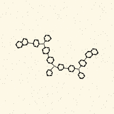 c1ccc(N(c2ccc(-c3ccc(N(c4ccccc4)c4ccc(-c5ccc6ccccc6c5)cc4)cc3)cc2)c2ccc(-c3ccc(N(c4ccccc4)c4ccc(-c5ccc6ccccc6c5)cc4)cc3)cc2)cc1